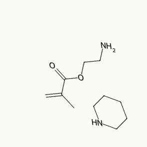 C1CCNCC1.C=C(C)C(=O)OCCN